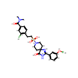 CN(C)C(=O)c1ccc(CCS(=O)(=O)N2CCC3(CC2)N=C(c2cccc(OF)c2)NC3=O)c(F)c1